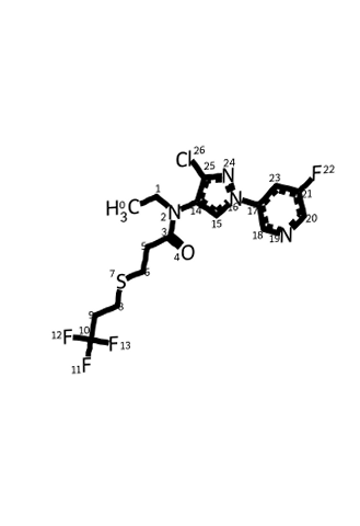 CCN(C(=O)CCSCCC(F)(F)F)c1cn(-c2cncc(F)c2)nc1Cl